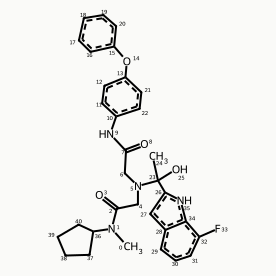 CN(C(=O)CN(CC(=O)Nc1ccc(Oc2ccccc2)cc1)C(C)(O)c1cc2cccc(F)c2[nH]1)C1CCCC1